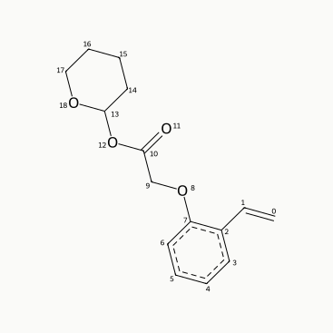 C=Cc1ccccc1OCC(=O)OC1CCCCO1